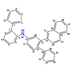 c1ccc(-c2ccccc2Nc2ccc(-c3ccccc3)c(-c3ccc4ccccc4c3)c2)cc1